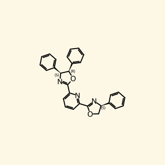 c1ccc([C@H]2OC(c3cccc(C4=N[C@@H](c5ccccc5)CO4)n3)=N[C@H]2c2ccccc2)cc1